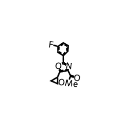 COC(=O)c1nc(-c2cccc(F)c2)oc1C1CC1